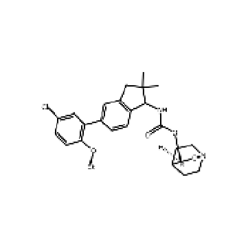 CCOc1ccc(Cl)cc1-c1ccc2c(c1)CC(C)(C)C2NC(=O)O[C@H]1CN2CCC1CC2